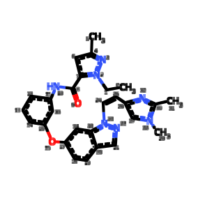 CCn1nc(C)cc1C(=O)Nc1cccc(Oc2ccc3cnn(C=Cc4cn(C)c(C)n4)c3c2)c1